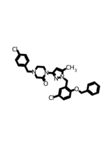 Cc1cc(N2CCN(Cc3ccc(Cl)cc3)CC2=O)nn1Cc1cc(Cl)ccc1OCc1ccccc1